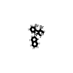 Brc1cccc2c1c1c(Br)cccc1n2-c1ccc2ccccc2c1